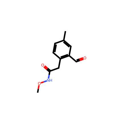 CONC(=O)Cc1ccc(C)cc1C=O